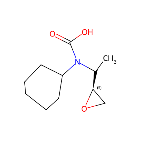 CC([C@H]1CO1)N(C(=O)O)C1CCCCC1